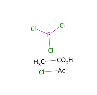 CC(=O)Cl.CC(=O)O.ClP(Cl)Cl